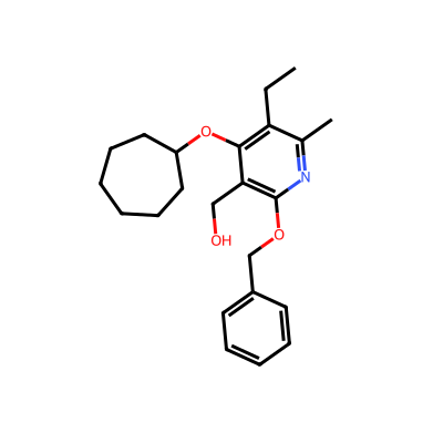 CCc1c(C)nc(OCc2ccccc2)c(CO)c1OC1CCCCCC1